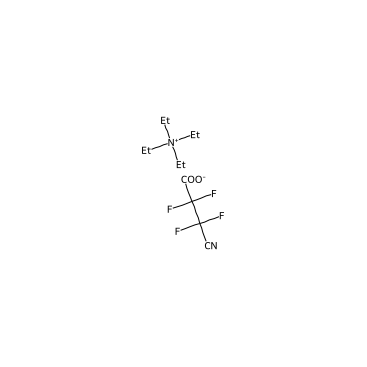 CC[N+](CC)(CC)CC.N#CC(F)(F)C(F)(F)C(=O)[O-]